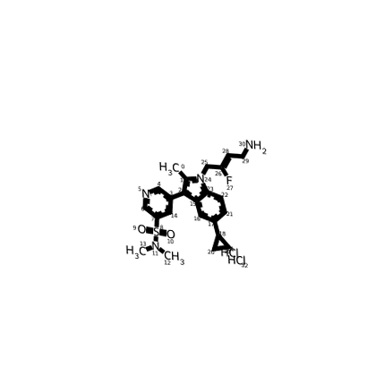 Cc1c(-c2cncc(S(=O)(=O)N(C)C)c2)c2cc(C3CC3)ccc2n1CC(F)=CCN.Cl.Cl